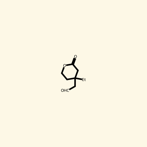 CCC1(CC=O)CCOC(=O)C1